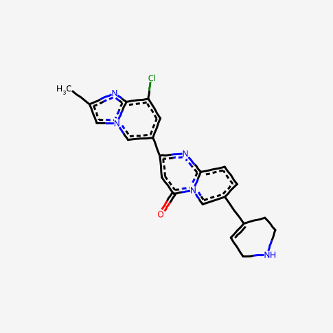 Cc1cn2cc(-c3cc(=O)n4cc(C5=CCNCC5)ccc4n3)cc(Cl)c2n1